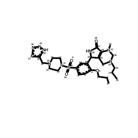 CCCOc1ccc(S(=O)(=O)N2CCN(Cc3nnn[nH]3)CC2)cc1C1NC(=O)C2=C1CN(CCC)CN2C